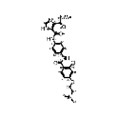 CNC(=O)c1nc[nH]c1C(=O)Nc1ccc(NC(=O)c2ccc(OCCN(C)C)cc2Cl)cc1